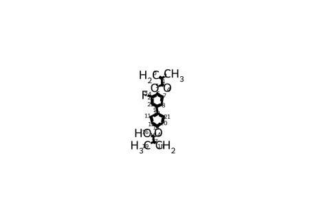 C=C(C)C(=O)Oc1ccc(-c2ccc(OC(O)C(=C)C)cc2)cc1F